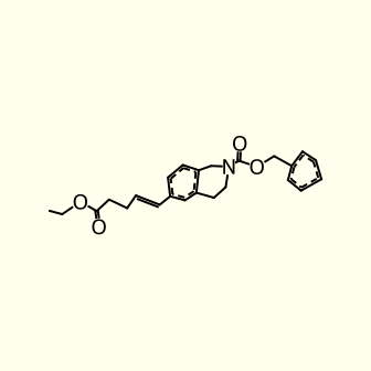 CCOC(=O)CCC=Cc1ccc2c(c1)CCN(C(=O)OCc1ccccc1)C2